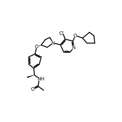 CC(=O)N[C@@H](C)c1ccc(O[C@@H]2CCN(c3ccnc(OC4CCCC4)c3Cl)C2)cc1